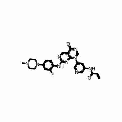 C=CC(=O)Nc1cncc(-n2cnc(=O)c3cnc(Nc4ccc(N5CCN(C)CC5)cc4F)nc32)c1